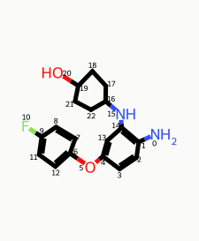 Nc1ccc(Oc2ccc(F)cc2)cc1NC1CCC(O)CC1